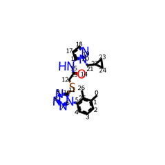 Cc1cccc(-n2nnnc2SCC(=O)Nc2ccnn2CC2CC2)c1C